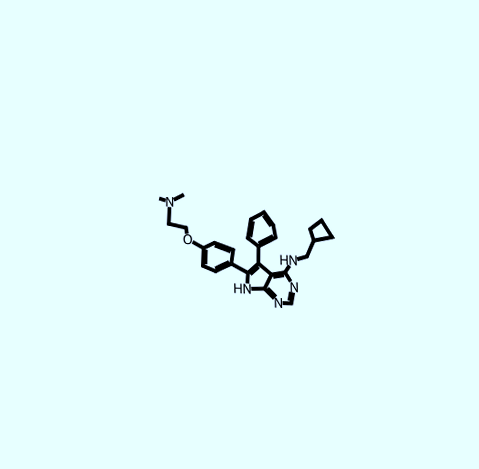 CN(C)CCOc1ccc(-c2[nH]c3ncnc(NCC4CCC4)c3c2-c2ccccc2)cc1